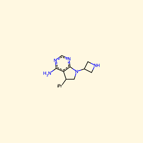 CC(C)C1CN(C2CNC2)c2ncnc(N)c21